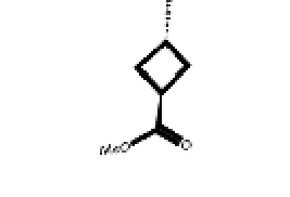 COC(=O)[C@H]1C[C@H](F)C1